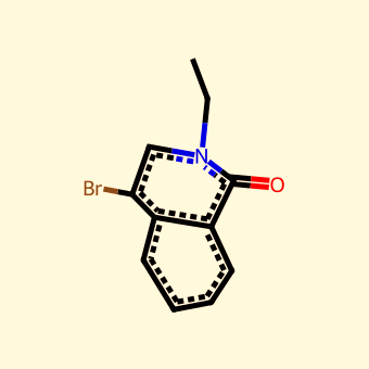 CCn1cc(Br)c2ccccc2c1=O